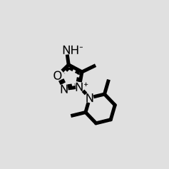 Cc1c([NH-])on[n+]1N1C(C)CCCC1C